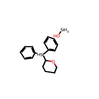 O[SiH3].c1ccc([SiH](c2ccccc2)C2CCCCO2)cc1